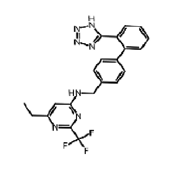 CCc1cc(NCc2ccc(-c3ccccc3-c3nnn[nH]3)cc2)nc(C(F)(F)F)n1